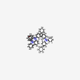 c1ccc(N(c2ccc(C3CCCCC3)cc2)c2ccc(C3(c4ccc(N(c5ccccc5)c5cccc6c7ccccc7n(-c7ccccc7)c56)cc4)CCCCC3)cc2)cc1